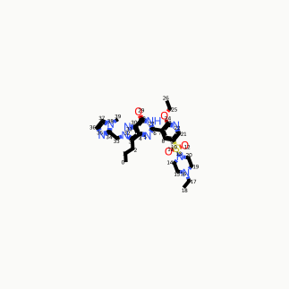 CCCc1c2nc(-c3cc(S(=O)(=O)N4CCN(CC)CC4)cnc3OCC)[nH]c(=O)c2nn1Cc1nccn1C